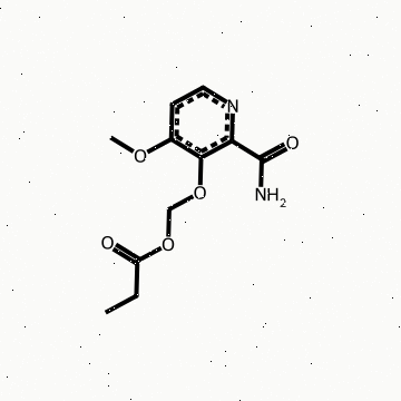 CCC(=O)OCOc1c(OC)ccnc1C(N)=O